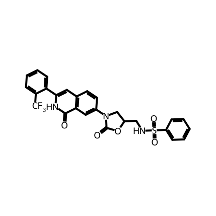 O=C1OC(CNS(=O)(=O)c2ccccc2)CN1c1ccc2cc(-c3ccccc3C(F)(F)F)[nH]c(=O)c2c1